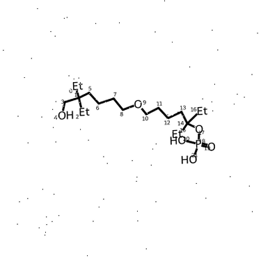 CCC(CC)(CO)CCCCOCCCCC(CC)(CC)OP(=O)(O)O